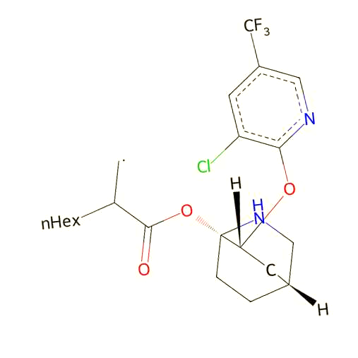 [CH2]C(CCCCCC)C(=O)O[C@]12CC[C@@H](CN1)C[C@H]2Oc1ncc(C(F)(F)F)cc1Cl